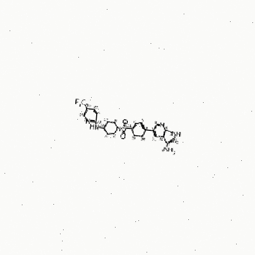 Nc1n[nH]c2ncc(C3=CC=C(S(=O)(=O)N4CCC(Nc5ccc(C(F)(F)F)cn5)CC4)CC3)cc12